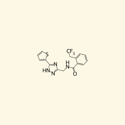 O=C(NCc1n[nH]c(-c2cccs2)n1)c1ccccc1CC(F)(F)F